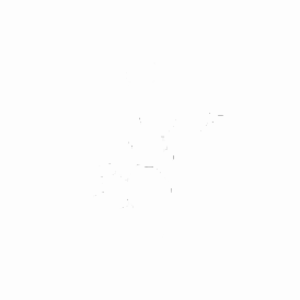 CCOC(=O)[C@H](CCc1ccccc1)NC1CCCC2CCCC2N(CC(=O)O)C1=O